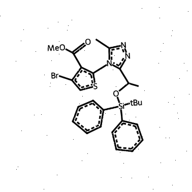 COC(=O)c1c(Br)csc1-n1c(C)nnc1C(C)O[Si](c1ccccc1)(c1ccccc1)C(C)(C)C